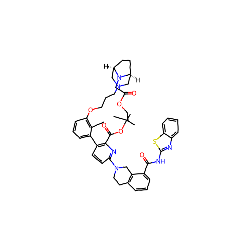 CCOC(=O)CN1[C@@H]2CC[C@H]1CN(CCCOc1cccc(-c3ccc(N4CCc5cccc(C(=O)Nc6nc7ccccc7s6)c5C4)nc3C(=O)OC(C)(C)C)c1C)C2